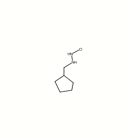 ClNNCC1CCCC1